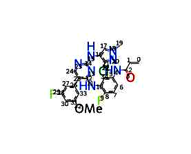 C=CC(=O)Nc1ccc(F)c(Nc2nc(Nc3cn(C)nc3Cl)ncc2-c2cc(F)cc(OC)c2)c1